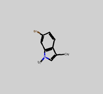 CCn1cc(C#N)c2ccc(Br)cc21